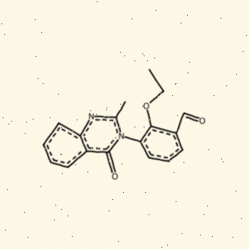 CCOc1c(C=O)cccc1-n1c(C)nc2ccccc2c1=O